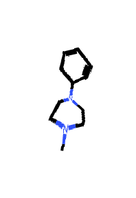 CN1CCN(C2C=CC=CC2)CC1